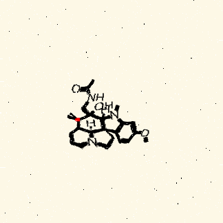 CC[C@]12C=CCN3CC[C@@]4(c5ccc(OC)cc5N(C)[C@H]4C(O)(CNC(C)=O)[C@@H]1C)[C@@H]32